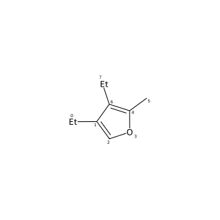 CCc1coc(C)c1CC